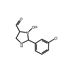 O=CC1CNC(c2cccc(Cl)c2)N1O